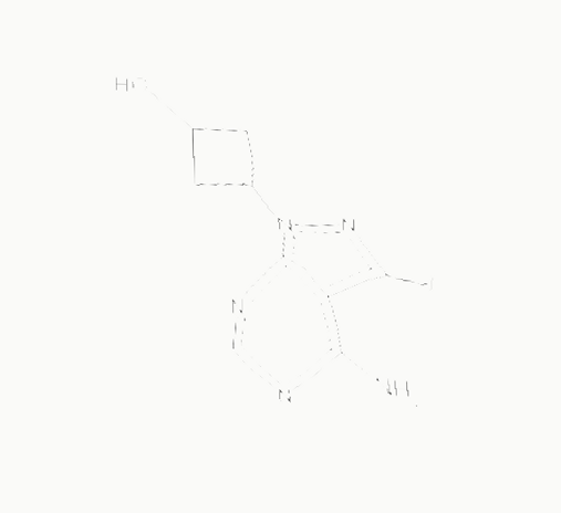 Nc1ncnc2c1c(I)nn2C1CC(O)C1